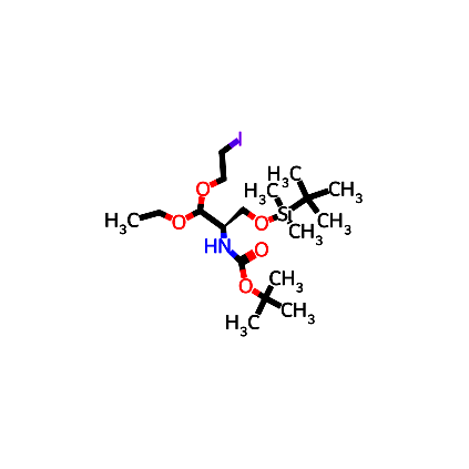 CCOC(OCCI)[C@@H](CO[Si](C)(C)C(C)(C)C)NC(=O)OC(C)(C)C